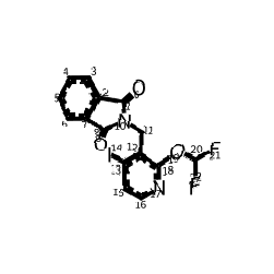 O=C1c2ccccc2C(=O)N1Cc1c(I)ccnc1OC(F)F